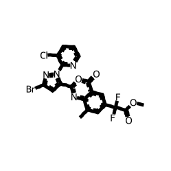 COC(=O)C(F)(F)c1cc(C)c2nc(-c3cc(Br)nn3-c3ncccc3Cl)oc(=O)c2c1